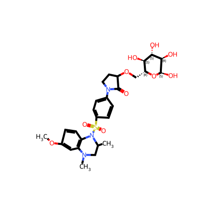 COc1ccc2c(c1)N(C)CC(C)N2S(=O)(=O)c1ccc(N2CCC(OC[C@H]3O[C@H](O)[C@H](O)[C@@H](O)[C@@H]3O)C2=O)cc1